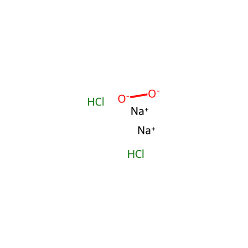 Cl.Cl.[Na+].[Na+].[O-][O-]